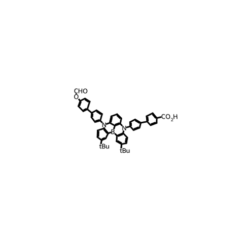 CC(C)(C)c1ccc2c(c1)B1c3cc(C(C)(C)C)ccc3N(c3ccc(-c4ccc(C(=O)O)cc4)cc3)c3cccc(c31)N2c1ccc(-c2ccc(OC=O)cc2)cc1